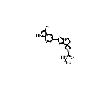 CCc1c[nH]c2ncc(-c3cc4n(n3)CCC43CN(C(=O)NC(C)(C)C)C3)cc12